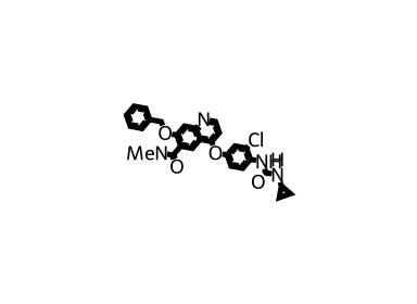 CNC(=O)c1cc2c(Oc3ccc(NC(=O)NC4CC4)c(Cl)c3)ccnc2cc1OCc1ccccc1